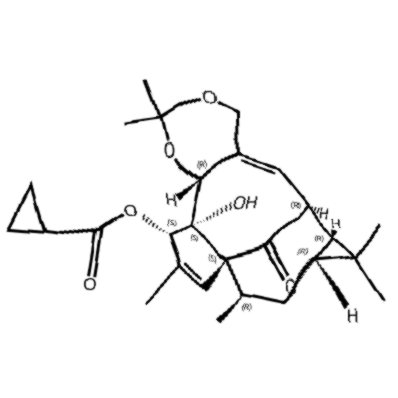 CC1=C[C@]23C(=O)[C@@H](C=C4COC(C)(C)O[C@H]4[C@]2(O)[C@H]1OC(=O)C1CC1)[C@H]1[C@@H](C[C@H]3C)C1(C)C